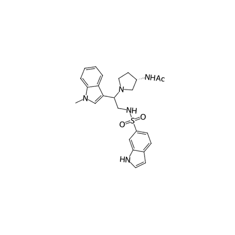 CC(=O)N[C@H]1CCN(C(CNS(=O)(=O)c2ccc3cc[nH]c3c2)c2cn(C)c3ccccc23)C1